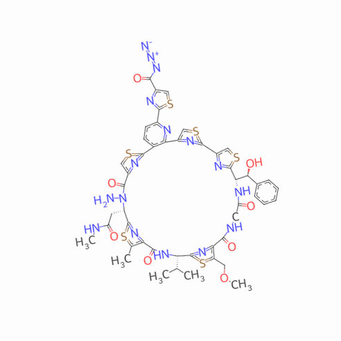 CNC(=O)C[C@H]1c2nc(c(C)s2)C(=O)N[C@@H](C(C)C)c2nc(c(COC)s2)C(=O)NCC(=O)N[C@@H]([C@@H](O)c2ccccc2)c2nc(cs2)-c2nc(cs2)-c2nc(-c3nc(C(=O)N=[N+]=[N-])cs3)ccc2-c2nc(cs2)C(=O)N1N